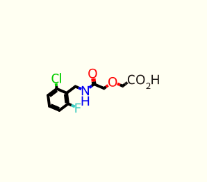 O=C(O)COCC(=O)NCc1c(F)cccc1Cl